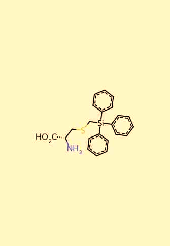 N[C@@H](CSC[Si](c1ccccc1)(c1ccccc1)c1ccccc1)C(=O)O